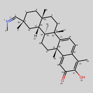 C/N=C\[C@]1(C)CC[C@]2(C)CC[C@]3(C)C4=CC=C5C(=CC(=O)C(O)=C5C)[C@]4(C)CC[C@@]3(C)[C@@H]2C1